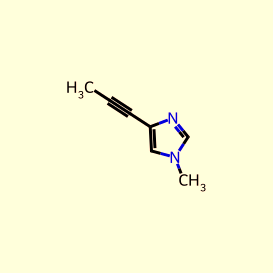 CC#Cc1cn(C)cn1